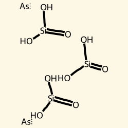 O=[Si](O)O.O=[Si](O)O.O=[Si](O)O.[As].[As]